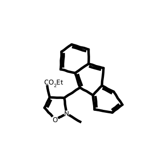 CCOC(=O)C1=CON(C)C1c1c2ccccc2cc2ccccc12